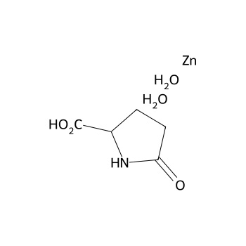 O.O.O=C1CCC(C(=O)O)N1.[Zn]